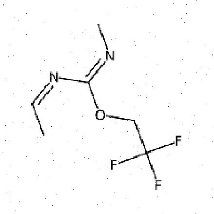 C/C=N\C(=N/C)OCC(F)(F)F